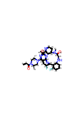 C=CC(=O)N1C[C@H](C)N(c2nc(=O)n3c4nc(c(F)cc24)-c2c(F)cccc2NCC(=O)N(C)c2ccnc(C(C)C)c2-3)C[C@H]1C